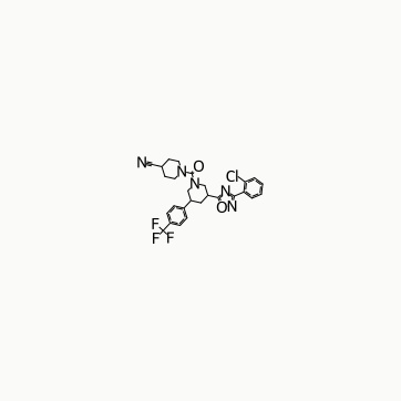 N#CC1CCN(C(=O)N2CC(c3ccc(C(F)(F)F)cc3)CC(c3nc(-c4ccccc4Cl)no3)C2)CC1